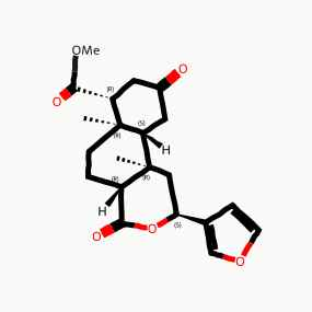 COC(=O)[C@@H]1CC(=O)C[C@H]2[C@@]1(C)CC[C@H]1C(=O)O[C@H](c3ccoc3)C[C@]21C